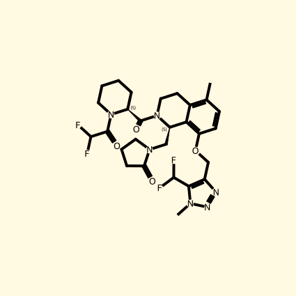 Cc1ccc(OCc2nnn(C)c2C(F)F)c2c1CCN(C(=O)[C@@H]1CCCCN1C(=O)C(F)F)[C@@H]2CN1CCCC1=O